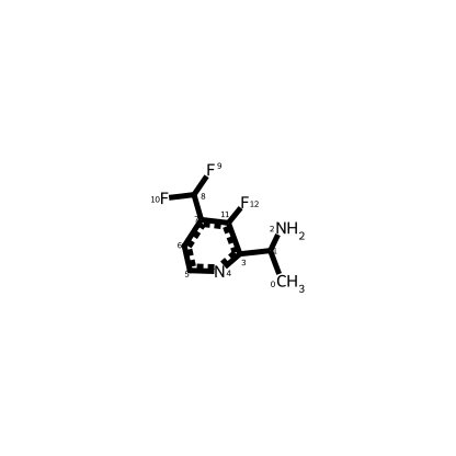 CC(N)c1nccc(C(F)F)c1F